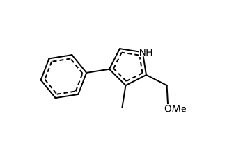 COCc1[nH]cc(-c2ccccc2)c1C